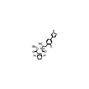 Cn1cc(-c2ccc(C[C@@H](C#N)NC(=O)[C@@H]3[C@H]4CC[C@H](C4)N3C(=O)OC(C)(C)C)c(F)c2)cn1